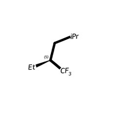 CC[C@@H](CC(C)C)C(F)(F)F